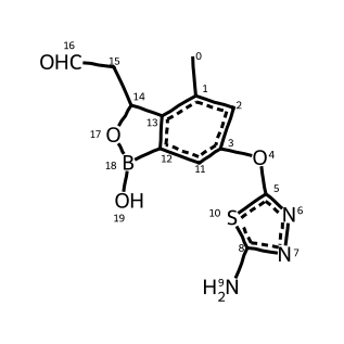 Cc1cc(Oc2nnc(N)s2)cc2c1C(CC=O)OB2O